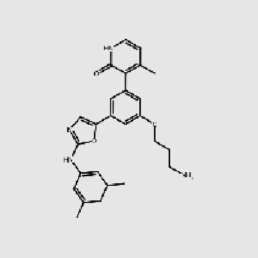 CC1=CC(Nc2ncc(-c3cc(OCCCN)cc(-c4c(C)cc[nH]c4=O)c3)o2)=CC(C)C1